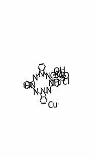 O=S(=O)(O)c1c(S(=O)(=O)Cl)ccc2c3nc4nc(nc5[nH]c(nc6nc(nc([nH]3)c12)-c1ccccc1-6)c1ccccc51)-c1ccccc1-4.[Cu]